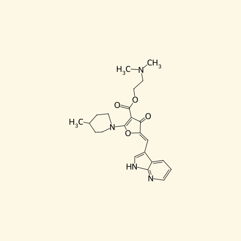 CC1CCN(C2=C(C(=O)OCCN(C)C)C(=O)C(=Cc3c[nH]c4ncccc34)O2)CC1